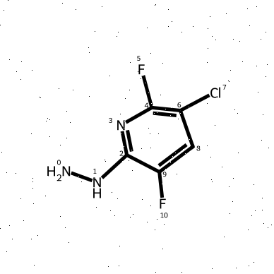 NNc1nc(F)c(Cl)cc1F